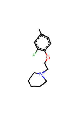 Cc1ccc(OCCN2CCCCC2)c(F)c1